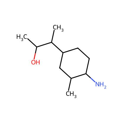 CC(O)C(C)C1CCC(N)C(C)C1